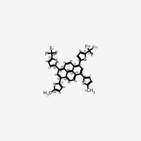 Cc1ccc(-c2cc(-c3ccc(C(F)(F)F)s3)c3ccc4c(-c5ccc(C(F)(F)F)s5)cc(-c5ccc(C)s5)c5ccc2c3c54)s1